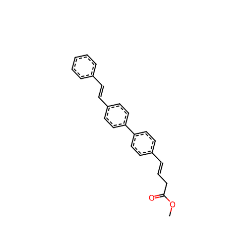 COC(=O)CC=Cc1ccc(-c2ccc(C=Cc3ccccc3)cc2)cc1